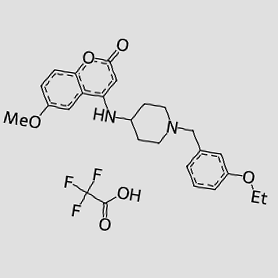 CCOc1cccc(CN2CCC(Nc3cc(=O)oc4ccc(OC)cc34)CC2)c1.O=C(O)C(F)(F)F